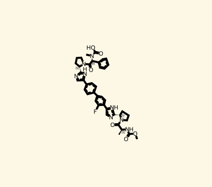 COC(=O)N[C@@H](C)C(=O)N1CCC[C@H]1c1ncc(-c2ccc(-c3ccc(-c4cnc([C@@H]5CCCN5C(=O)[C@@H](c5ccccc5)N(C)C(=O)O)[nH]4)cc3)cc2F)[nH]1